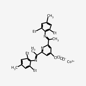 CCc1cc(C)cc(CC)c1N=C(C)c1cc(Cl)cc(C(C)=Nc2c(CC)cc(C)cc2CC)n1.[Cl-].[Cl-].[Cl-].[Co+3]